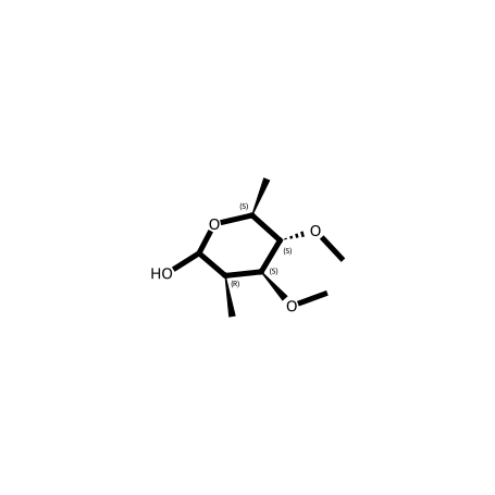 CO[C@@H]1[C@@H](OC)[C@@H](C)C(O)O[C@H]1C